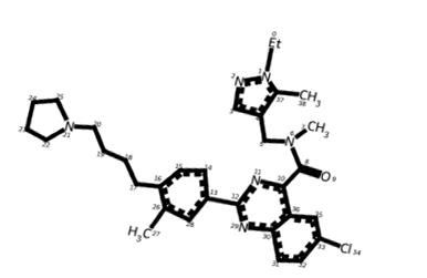 CCn1ncc(CN(C)C(=O)c2nc(-c3ccc(CCCCN4CCCC4)c(C)c3)nc3ccc(Cl)cc23)c1C